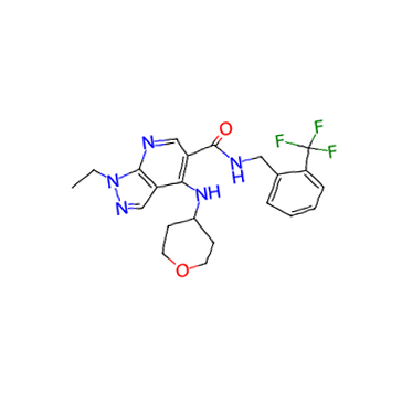 CCn1ncc2c(NC3CCOCC3)c(C(=O)NCc3ccccc3C(F)(F)F)cnc21